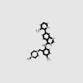 CCN1CCN(Cc2cc(C(F)(F)F)ccc2Nc2ncnc3cc(-c4ncccc4C(F)(F)F)ccc23)CC1